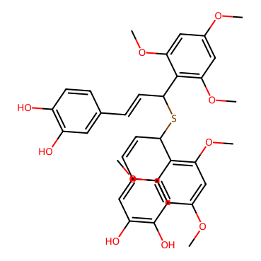 COc1cc(OC)c(C(C=Cc2ccc(O)c(O)c2)SC(/C=C\c2ccc(O)c(O)c2)c2c(OC)cc(OC)cc2OC)c(OC)c1